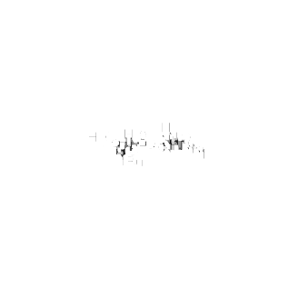 Cc1ccc(-n2nc(C(C)(C)C)cc2NC(=O)Nc2ccc(OCc3ccnc(Nc4cnc(C(=O)NCCN5CCC(F)C5)cn4)c3)c3ccccc23)cc1